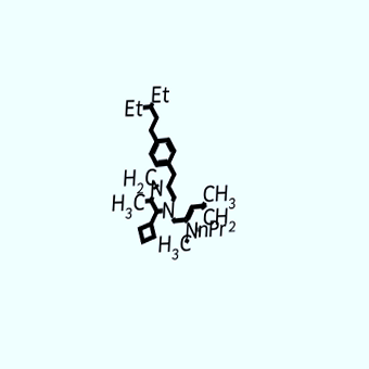 C=NC(C)C(C1CCC1)N(CCCc1ccc(CCC(CC)CC)cc1)C/C(=C/C(=C)C)N(C)CCC